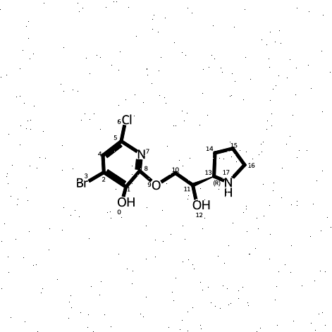 Oc1c(Br)cc(Cl)nc1OCC(O)[C@H]1CCCN1